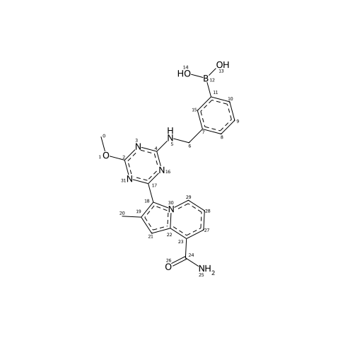 COc1nc(NCc2cccc(B(O)O)c2)nc(-c2c(C)cc3c(C(N)=O)cccn23)n1